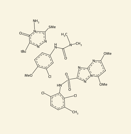 COc1cc(OC)n2nc(S(=O)(=O)Nc3c(Cl)ccc(C)c3Cl)nc2n1.COc1ccc(NC(=O)N(C)C)cc1Cl.CSc1nnc(C(C)(C)C)c(=O)n1N